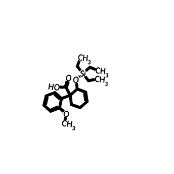 CC[Si](CC)(CC)OC1C=CCCC1(C(=O)O)c1ccccc1OC